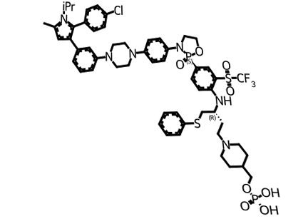 Cc1cc(-c2cccc(N3CCN(c4ccc(N5CCO[P@@]5(=O)c5ccc(N[C@H](CCN6CCC(COP(=O)(O)O)CC6)CSc6ccccc6)c(S(=O)(=O)C(F)(F)F)c5)cc4)CC3)c2)c(-c2ccc(Cl)cc2)n1C(C)C